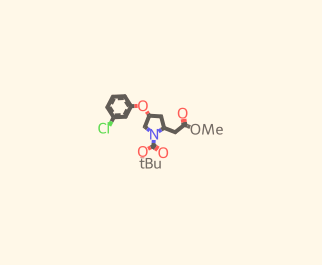 COC(=O)CC1CC(Oc2cccc(Cl)c2)CN1C(=O)OC(C)(C)C